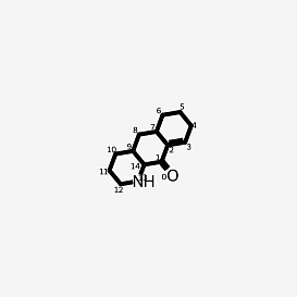 O=C1C2=CCCCC2CC2CCCNC12